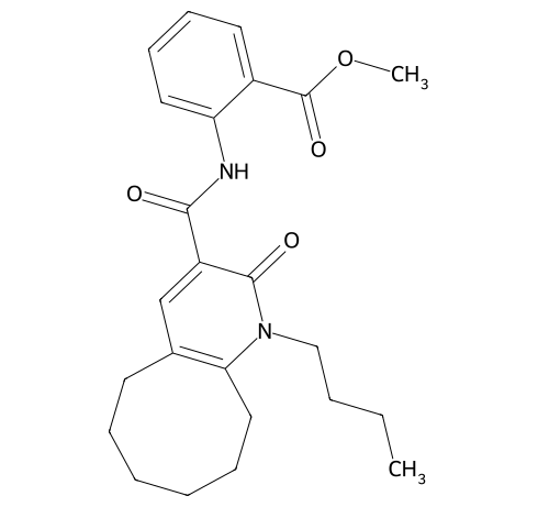 CCCCn1c2c(cc(C(=O)Nc3ccccc3C(=O)OC)c1=O)CCCCCC2